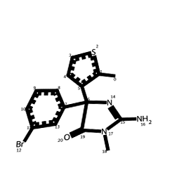 Cc1sccc1C1(c2cccc(Br)c2)N=C(N)N(C)C1=O